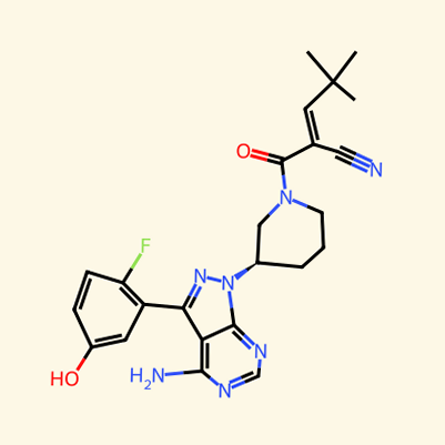 CC(C)(C)/C=C(\C#N)C(=O)N1CCC[C@@H](n2nc(-c3cc(O)ccc3F)c3c(N)ncnc32)C1